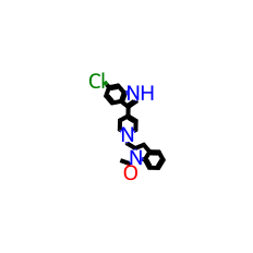 CC(=O)N1c2ccccc2CC1CN1CC=C(c2c[nH]c3cc(Cl)ccc23)CC1